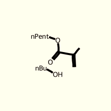 C=C(C)C(=O)OCCCCC.CCCCO